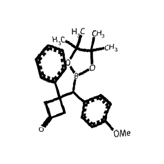 COc1ccc(C(B2OC(C)(C)C(C)(C)O2)C2(c3ccccc3)CC(=O)C2)cc1